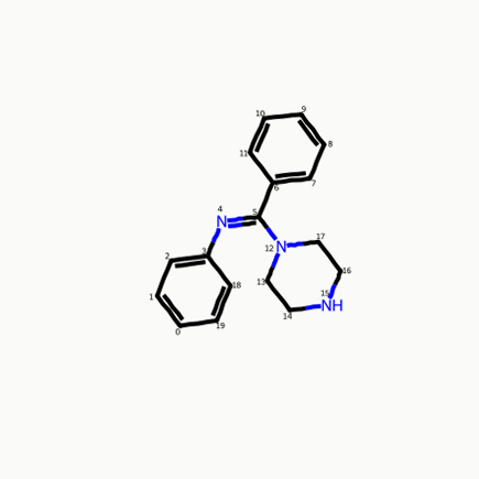 c1ccc(N=C(c2ccccc2)N2CCNCC2)cc1